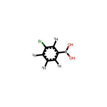 [2H]c1c([2H])c(Br)c([2H])c(B(O)O)c1[2H]